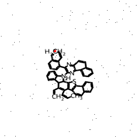 C=CC1=C(/C=C\C)c2c(sc3c2ccc2ccccc23)[C@H]2C1c1ccccc1N2c1nc2c(ccc3ccccc32)nc1-c1cccc(C=C)c1/C=C\C